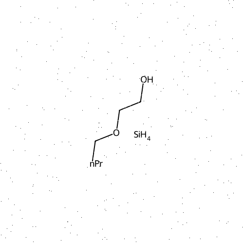 CCCCOCCO.[SiH4]